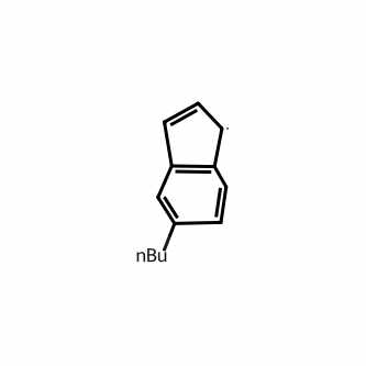 CCCCc1ccc2c(c1)C=C[CH]2